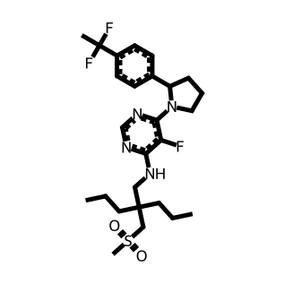 CCCC(CCC)(CNc1ncnc(N2CCCC2c2ccc(C(C)(F)F)cc2)c1F)CS(C)(=O)=O